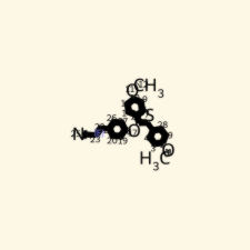 COc1ccc(-c2sc3cc(OC)ccc3c2Oc2ccc(/C=C/C#N)cc2)cc1